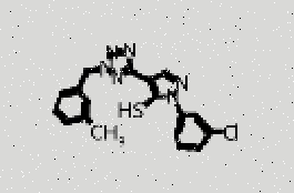 Cc1cccc(Cn2nnc(-c3cnn(-c4cccc(Cl)c4)c3S)n2)c1